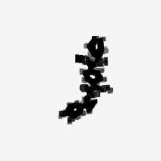 NC(C(=O)NCC1(c2ccc(F)c(F)c2)CC1)C1CCC(C(O)Nc2ccncc2)CC1